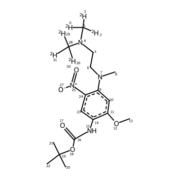 [2H]C([2H])([2H])N(CCN(C)c1cc(OC)c(NC(=O)OC(C)(C)C)cc1[N+](=O)[O-])C([2H])([2H])[2H]